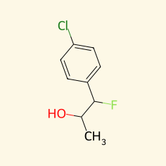 CC(O)C(F)c1ccc(Cl)cc1